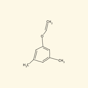 C=COc1cc(C)cc(C)c1